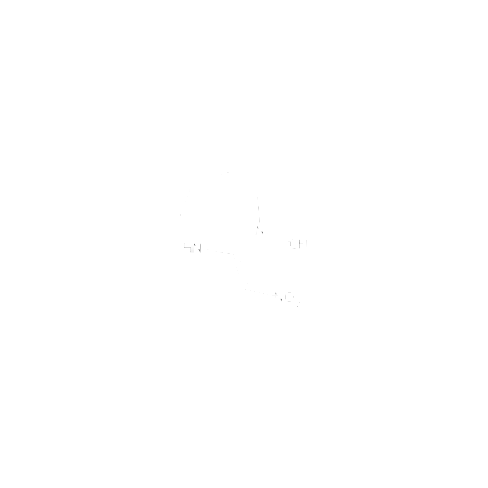 CN1CCCCN/C1=C/[N+](=O)[O-]